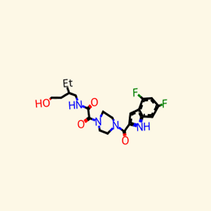 CCC(CCO)CNC(=O)C(=O)N1CCN(C(=O)c2cc3c(F)cc(F)cc3[nH]2)CC1